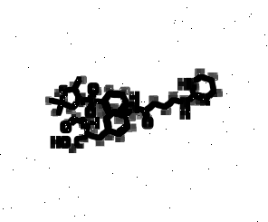 CC1SC(C)(C)[C@@H](C(=O)N[C@@H](Cc2ccc(NC(=O)CCCNC3=NCCCN3)cc2)C(=O)O)N1S(=O)(=O)c1ccccc1